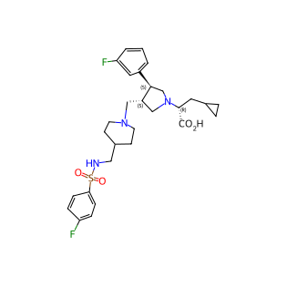 O=C(O)[C@@H](CC1CC1)N1C[C@H](CN2CCC(CNS(=O)(=O)c3ccc(F)cc3)CC2)[C@@H](c2cccc(F)c2)C1